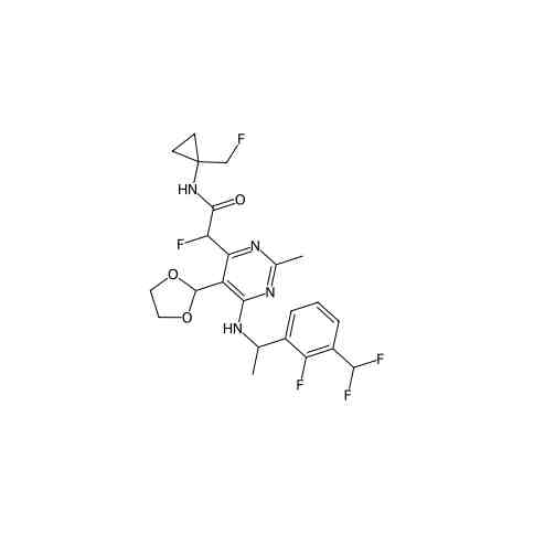 Cc1nc(NC(C)c2cccc(C(F)F)c2F)c(C2OCCO2)c(C(F)C(=O)NC2(CF)CC2)n1